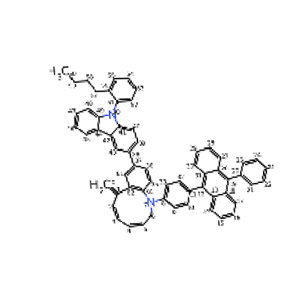 C=C1/C=C\C=C/CN(c2ccc(-c3c4ccccc4c(-c4ccccc4)c4ccccc34)cc2)c2ccc(-c3ccc4c(c3)c3ccccc3n4-c3ccccc3CCCC)cc21